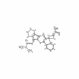 CC(C)C(F)=Cn1c(CN2C(=O)C3(CN(C(=O)O)C3)c3ccccc32)nc2c1CCCC2